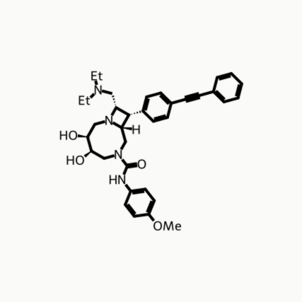 CCN(CC)C[C@@H]1[C@H](c2ccc(C#Cc3ccccc3)cc2)[C@@H]2CN(C(=O)Nc3ccc(OC)cc3)C[C@@H](O)[C@@H](O)CN12